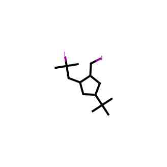 CC(C)(I)CC1CC(C(C)(C)C)CC1CI